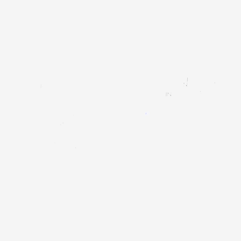 C#CC[S+]([O-])c1cc(/C=C/C2CCC(=O)NN2)ccc1OC